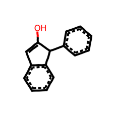 OC1=Cc2ccccc2C1c1ccccc1